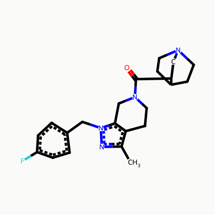 Cc1nn(Cc2ccc(F)cc2)c2c1CCN(C(=O)C1CN3CCC1CC3)C2